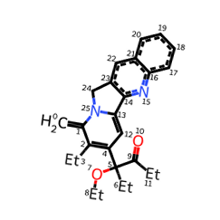 C=C1C(CC)=C(C(CC)(OCC)C(=O)CC)C=C2c3nc4ccccc4cc3CN12